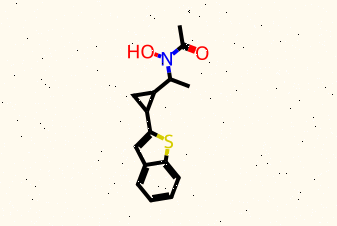 CC(=O)N(O)C(C)C1CC1c1cc2ccccc2s1